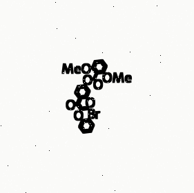 COc1cccc(OC)c1C(=O)Oc1ccc2c(=O)c(Oc3ccccc3Br)coc2c1